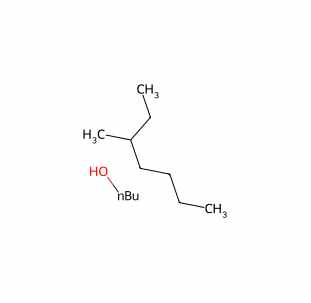 CCCCC(C)CC.CCCCO